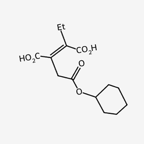 CCC(C(=O)O)=C(CC(=O)OC1CCCCC1)C(=O)O